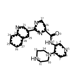 O=C(Nc1cnccc1N1CCNCC1)c1ccnc(-c2cnc3ccccc3c2)n1